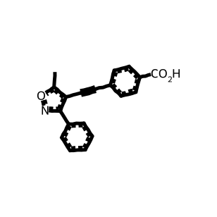 Cc1onc(-c2ccccc2)c1C#Cc1ccc(C(=O)O)cc1